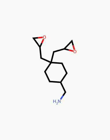 NCC1CCC(CC2CO2)(CC2CO2)CC1